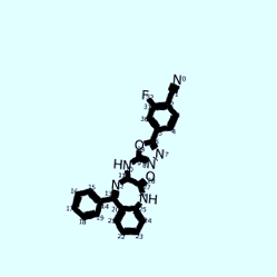 N#Cc1ccc(-c2nnc(NC3N=C(c4ccccc4)c4ccccc4NC3=O)o2)cc1F